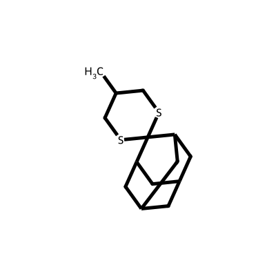 CC1CSC2(SC1)C1CC3CC(C1)CC2C3